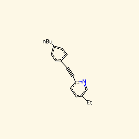 CCCCc1ccc(C#Cc2ccc(CC)cn2)cc1